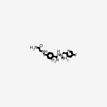 NC(=O)CNSc1ccc(C(N)NN(N)Cc2ccc(F)cn2)cc1